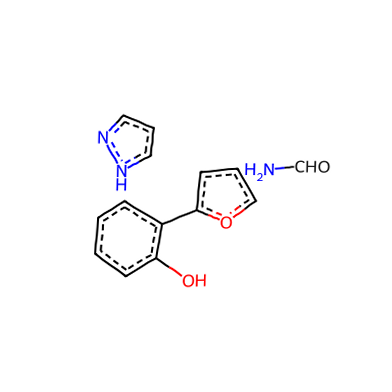 NC=O.Oc1ccccc1-c1ccco1.c1cn[nH]c1